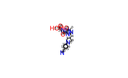 Cc1nc(CC2CCN(c3ccc(C#N)cc3)CC2)nc(C(=O)NCC(=O)O)c1O